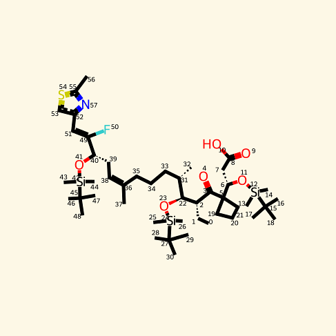 CC[C@@H](C(=O)C1([C@H](CC(=O)O)O[Si](C)(C)C(C)(C)C)CCC1)[C@@H](O[Si](C)(C)C(C)(C)C)[C@@H](C)CCC/C(C)=C\C[C@H](O[Si](C)(C)C(C)(C)C)/C(F)=C/c1csc(C)n1